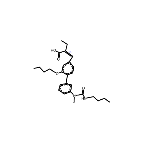 CCCCNC(=O)N(C)c1cccc(-c2ccc(/C=C(/CC)C(=O)O)cc2OCCCC)c1